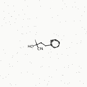 CC(O)(C#N)CCc1ccccc1